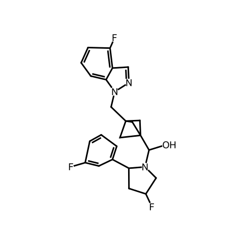 OC(N1CC(F)CC1c1cccc(F)c1)C12CC(Cn3ncc4c(F)cccc43)(C1)C2